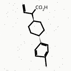 C=CC(C(=O)O)[C@H]1CC[C@H](c2ccc(C)cc2)CC1